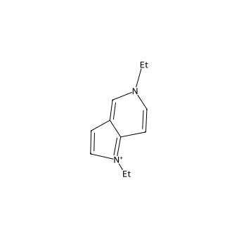 CCn1ccc2[n+](CC)ccc-2c1